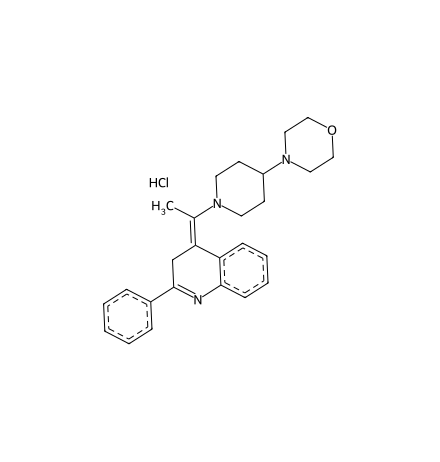 CC(=C1CC(c2ccccc2)=Nc2ccccc21)N1CCC(N2CCOCC2)CC1.Cl